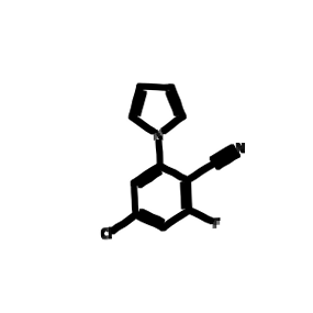 N#Cc1c(F)cc(Cl)cc1-n1cccc1